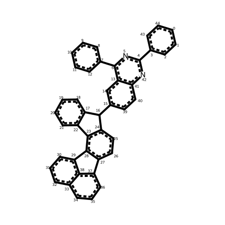 c1ccc(-c2nc(-c3ccccc3)c3cc(C4c5ccccc5-c5c4ccc4c5-c5cccc6cccc-4c56)ccc3n2)cc1